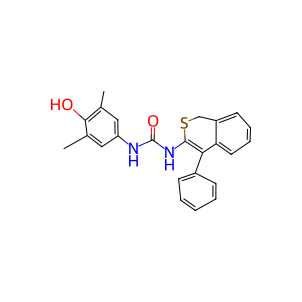 Cc1cc(NC(=O)NC2=C(c3ccccc3)c3ccccc3CS2)cc(C)c1O